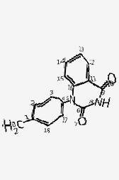 [CH2]c1ccc(-n2c(=O)[nH]c(=O)c3ccccc32)cc1